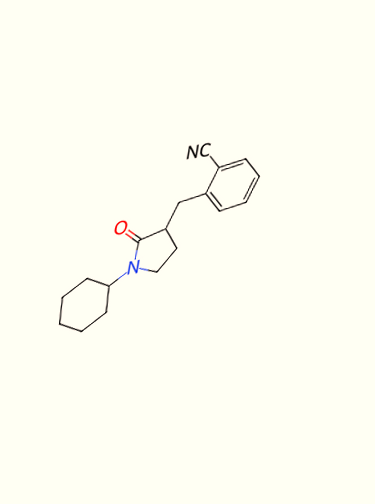 N#Cc1ccccc1CC1CCN(C2CCCCC2)C1=O